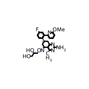 COc1cccc(-c2cc(F)ccc2[C@@H]2C/C(=N\OC[C@@H](O)CO)c3c(C)nc(N)nc3C2)n1